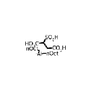 CCCCCCC[CH2][Al][CH2]CCCCCCC.O=C(O)CC(C(=O)O)S(=O)(=O)O